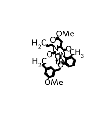 C=CCN(C(=O)OC(C)(C)C)C(CC(=O)OC)C(=O)Nc1c(C)cccc1OCc1cc(C=C)cc(OC)c1